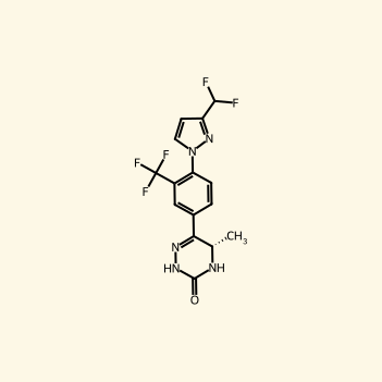 C[C@@H]1NC(=O)NN=C1c1ccc(-n2ccc(C(F)F)n2)c(C(F)(F)F)c1